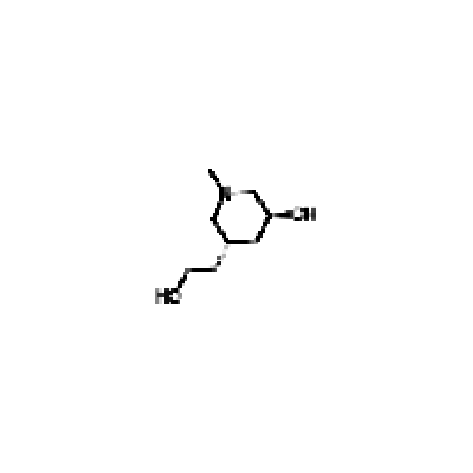 CN1C[C@@H](O)C[C@H](CCO)C1